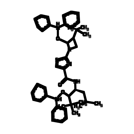 CC(C)C[C@H](NC(=O)c1csc(N2CC(C(C)(C)C)C2O[SiH](c2ccccc2)c2ccccc2)n1)C(O[SiH](c1ccccc1)c1ccccc1)C(C)(C)C